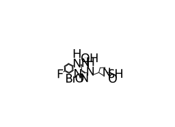 O=[SH]N1CCC(CNc2nonc2/C(=N/O)Nc2ccc(F)c(Br)c2)C1